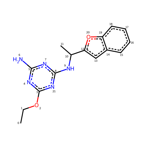 CCOc1nc(N)nc(NC(C)c2cc3ccccc3o2)n1